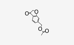 CC(=O)OCc1ccc2c(c1)OCC2=O